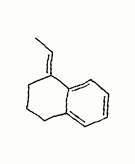 C/C=C1\CCCc2ccccc21